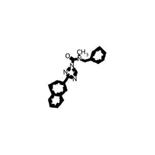 CN(Cc1ccccc1)C(=O)n1cnc(-c2ccc3ccccc3c2)n1